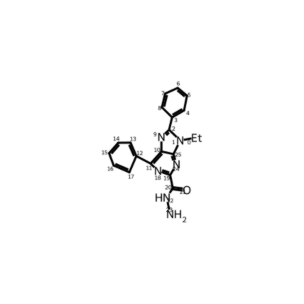 CCn1c(-c2ccccc2)nc2c(-c3ccccc3)nc(C(=O)NN)nc21